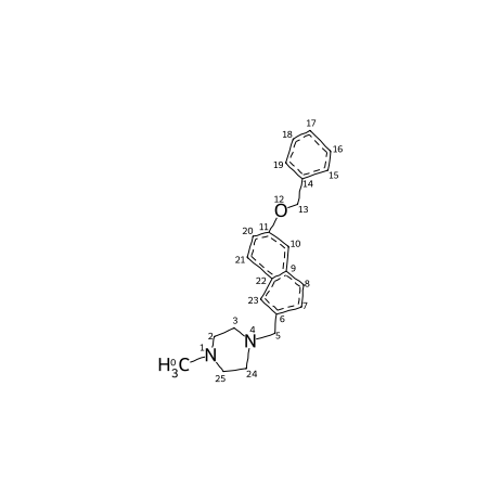 CN1CCN(Cc2ccc3cc(OCc4ccccc4)ccc3c2)CC1